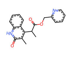 Cc1c(C(C)C(=O)OCc2ccccn2)c2ccccc2[nH]c1=O